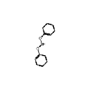 B(OC1=CCCCC1)OC1=CCCCC1